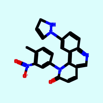 Cc1ccc(-n2c(=O)ccc3cnc4ccc(N5C=CCN5)cc4c32)cc1[N+](=O)[O-]